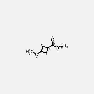 COC(=O)C1CC(OC)C1